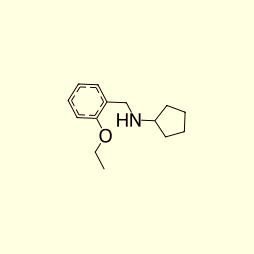 CCOc1ccccc1CNC1CCCC1